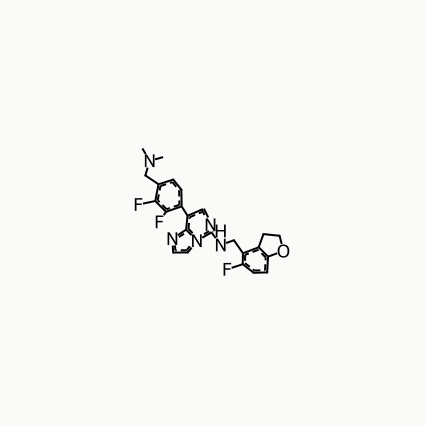 CN(C)Cc1ccc(-c2cnc(NCc3c(F)ccc4c3CCO4)n3ccnc23)c(F)c1F